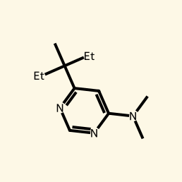 CCC(C)(CC)c1cc(N(C)C)ncn1